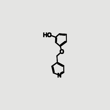 Oc1cccc(OCc2ccncc2)c1